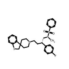 CN(C[C@@H](CCN1CCC2(CC1)CSc1ccccc12)c1ccc(F)cc1)S(=O)(=O)c1ccccc1